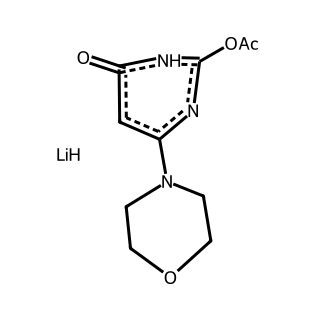 CC(=O)Oc1nc(N2CCOCC2)cc(=O)[nH]1.[LiH]